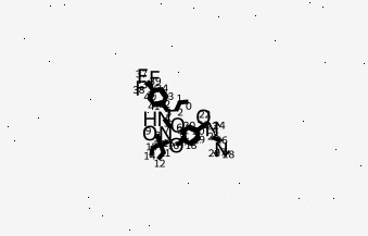 CCC[C@@H](NC(=O)N1C(=O)C(CC)(CC)C1Oc1ccc(C(=O)N(C)CCN(C)C)cc1)c1ccc(C(F)(F)F)cc1